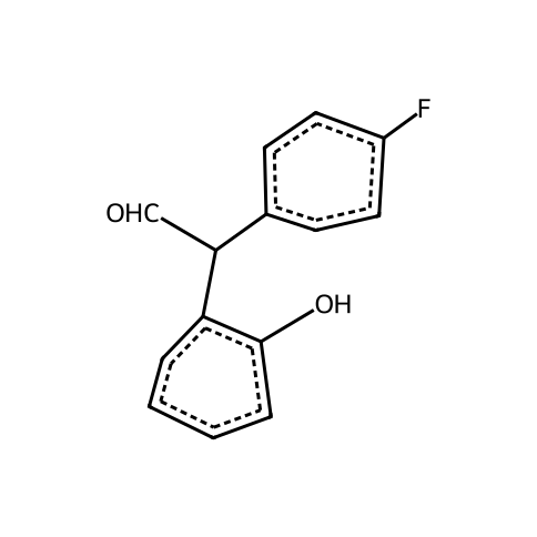 O=CC(c1ccc(F)cc1)c1ccccc1O